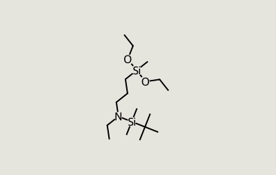 CCO[Si](C)(CCCN(CC)[Si](C)(C)C(C)(C)C)OCC